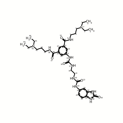 CCN(CC)CCCNC(=O)c1cc(NC(=O)NCCNC(=O)Nc2ccc3[nH]c(=O)[nH]c3c2)cc(C(=O)NCCCN(CC)CC)c1